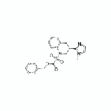 Cn1ccnc1[C@@H]1Cc2ccccc2N(S(=O)(=O)C(=O)OCc2ccccc2)C1